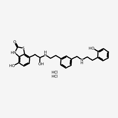 Cl.Cl.O=c1[nH]c2c(O)ccc(CC(O)NCCc3cccc(CNCCc4ccccc4O)c3)c2s1